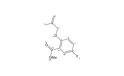 C=C(C)COc1ccc(F)cc1C(=O)OC